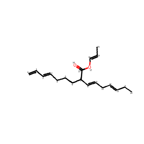 C=CC=CCCCC(C=CCC=CCC)C(=O)OC=CC